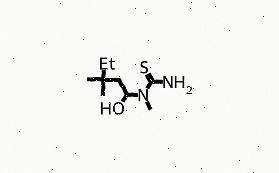 CCC(C)(C)CC(O)N(C)C(N)=S